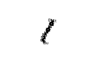 CCC(C)OC(=O)c1cc2sc(N=Nc3ccc(N=Nc4ccc(N(CC)CC)cc4)cc3)nc2s1